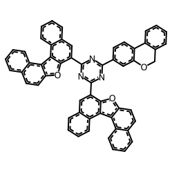 c1ccc2c(c1)COc1cc(-c3nc(-c4cc5ccccc5c5c4oc4ccc6ccccc6c45)nc(-c4cc5ccccc5c5c4oc4ccc6ccccc6c45)n3)ccc1-2